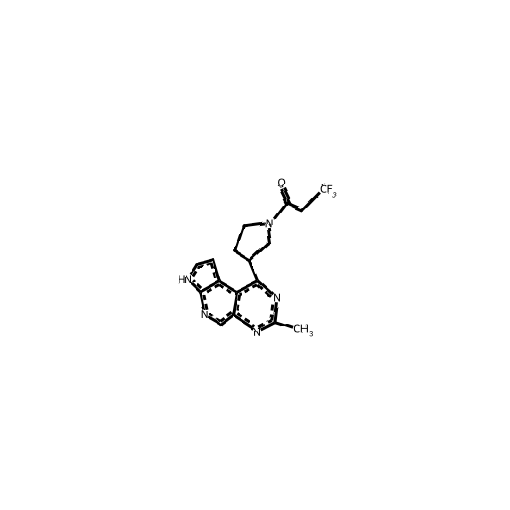 Cc1nc(C2CCN(C(=O)CC(F)(F)F)C2)c2c(cnc3[nH]ccc32)n1